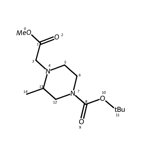 COC(=O)CN1CCN(C(=O)OC(C)(C)C)CC1C